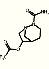 NC(=O)N1CCC2CN1CC2OC(=O)C(F)(F)F